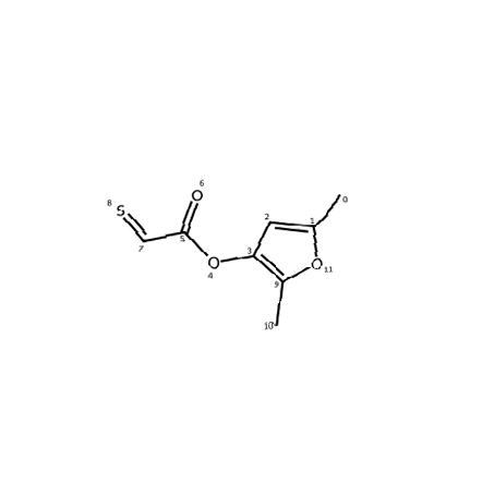 Cc1cc(OC(=O)C=S)c(C)o1